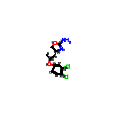 C[C@@H](C[C@@H]1COC(N)=N1)Oc1ccc(Cl)c(Cl)c1